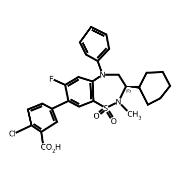 CN1[C@H](C2CCCCC2)CN(c2ccccc2)c2cc(F)c(-c3ccc(Cl)c(C(=O)O)c3)cc2S1(=O)=O